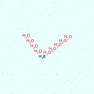 B.O.O.O.O.O.O.O.O.O